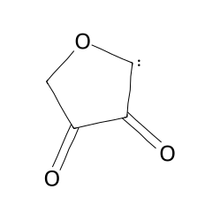 O=C1[C]OCC1=O